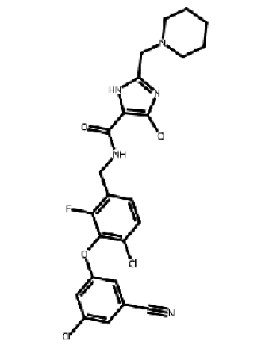 N#Cc1cc(Cl)cc(Oc2c(Cl)ccc(CNC(=O)c3[nH]c(CN4CCCCC4)nc3Cl)c2F)c1